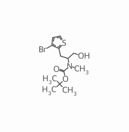 CN(C(=O)OC(C)(C)C)C(CO)Cc1sccc1Br